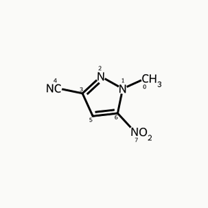 Cn1nc(C#N)cc1[N+](=O)[O-]